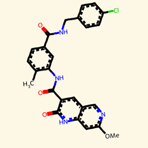 COc1cc2[nH]c(=O)c(C(=O)Nc3cc(C(=O)NCc4ccc(Cl)cc4)ccc3C)cc2cn1